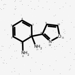 NC1C=CC=CC1(N)c1ccon1